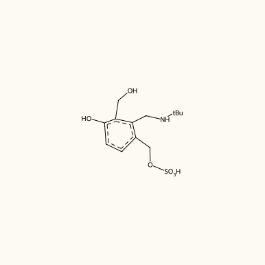 CC(C)(C)NCc1c(COS(=O)(=O)O)ccc(O)c1CO